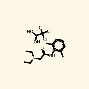 CCN(CC)CC(=O)Nc1c(C)cccc1C.OC(O)C(Cl)(Cl)Cl